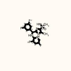 Cc1[nH]c(C(Nc2ncc(F)cc2F)c2cc(F)cc(F)c2)nc1S(C)(=N)=O